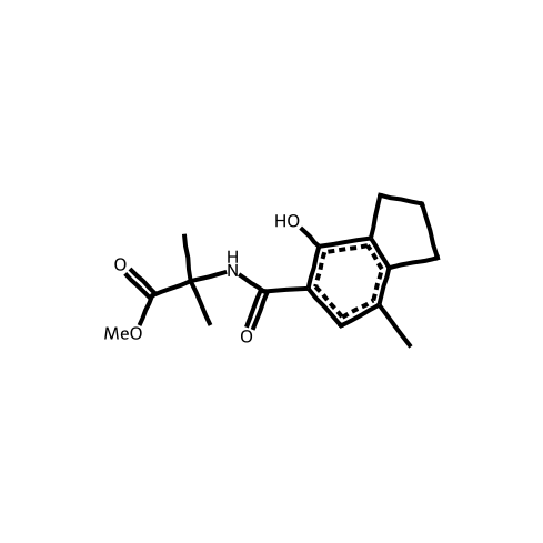 COC(=O)C(C)(C)NC(=O)c1cc(C)c2c(c1O)CCC2